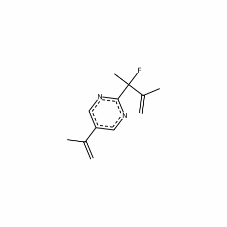 C=C(C)c1cnc(C(C)(F)C(=C)C)nc1